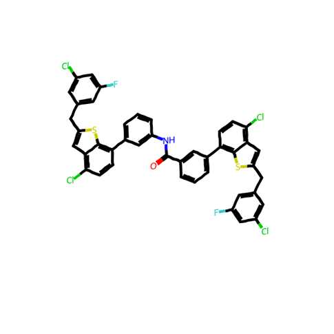 O=C(Nc1cccc(-c2ccc(Cl)c3cc(Cc4cc(F)cc(Cl)c4)sc23)c1)c1cccc(-c2ccc(Cl)c3cc(Cc4cc(F)cc(Cl)c4)sc23)c1